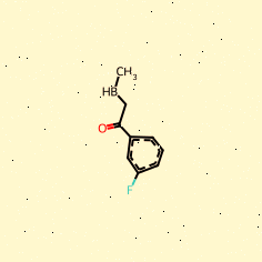 CBCC(=O)c1cccc(F)c1